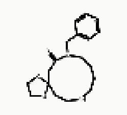 O=C1CC2(CCNCCCCN1Cc1ccccc1)OCCO2